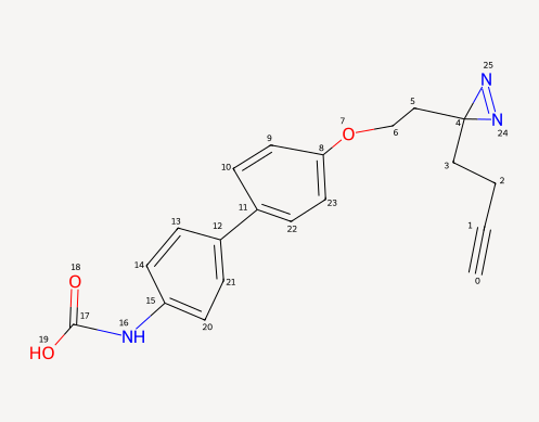 C#CCCC1(CCOc2ccc(-c3ccc(NC(=O)O)cc3)cc2)N=N1